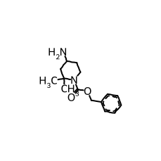 CC1(C)CC(N)CCN1C(=O)OCc1ccccc1